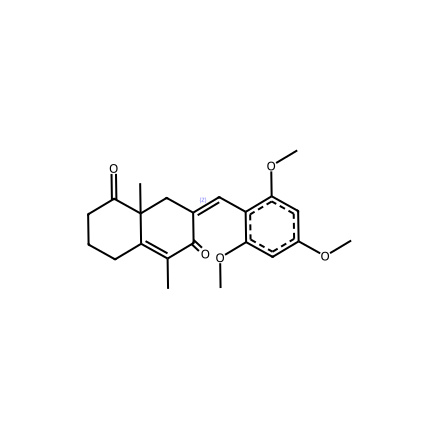 COc1cc(OC)c(/C=C2/CC3(C)C(=O)CCCC3=C(C)C2=O)c(OC)c1